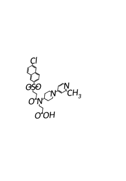 Cc1cc(N2CCC(N(CCC(=O)O)C(=O)CCS(=O)(=O)c3ccc4cc(Cl)ccc4c3)CC2)ccn1